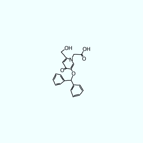 O=C(O)Cn1cc(OC(c2ccccc2)c2ccccc2)c(=O)cc1CO